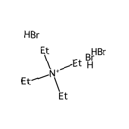 Br.Br.Br.CC[N+](CC)(CC)CC